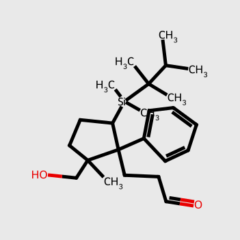 CC(C)C(C)(C)[Si](C)(C)C1CCC(C)(CO)C1(CCC=O)c1ccccc1